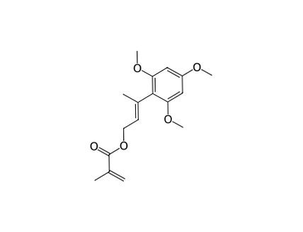 C=C(C)C(=O)OCC=C(C)c1c(OC)cc(OC)cc1OC